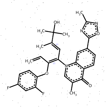 C=C/C(Oc1ccc(F)cc1F)=C(\C=C(/C)C(C)(C)O)n1cc(C)c(=O)c2ccc(-c3nc(C)no3)cc21